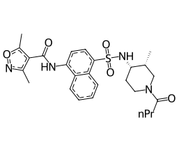 CCCC(=O)N1CC[C@H](NS(=O)(=O)c2ccc(NC(=O)c3c(C)noc3C)c3ccccc23)[C@H](C)C1